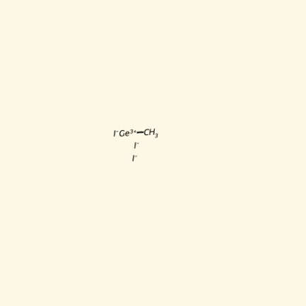 [CH3][Ge+3].[I-].[I-].[I-]